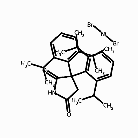 CC(C)c1cccc(C(C)C)c1C1(c2c(C(C)C)cccc2C(C)C)CC(=O)NC1=O.[Br][Ni][Br]